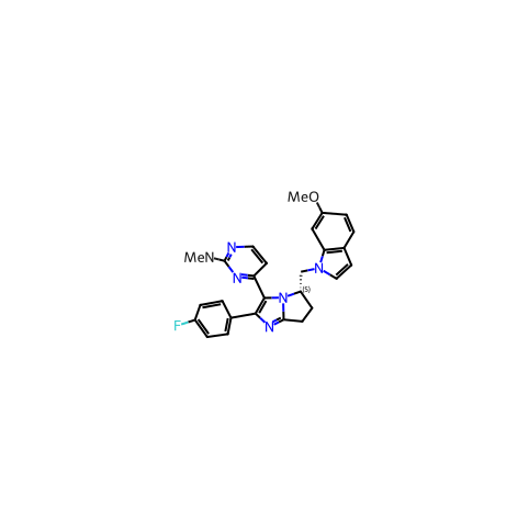 CNc1nccc(-c2c(-c3ccc(F)cc3)nc3n2[C@H](Cn2ccc4ccc(OC)cc42)CC3)n1